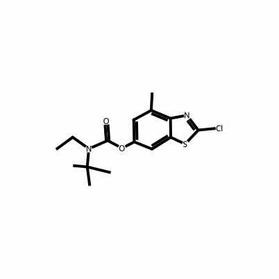 CCN(C(=O)Oc1cc(C)c2nc(Cl)sc2c1)C(C)(C)C